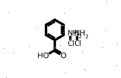 NCl.NCl.O=C(O)c1ccccc1